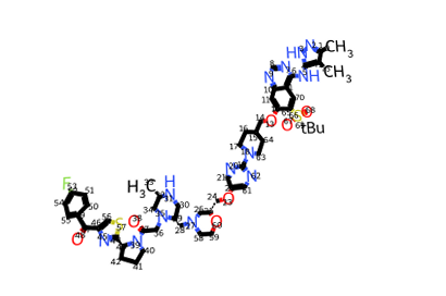 Cc1n[nH]c(Nc2ncnc3cc(OCC4CCN(c5ncc(OC[C@H]6CN(C[C@H]7CN[C@H](C)CN7CC(=O)N7CCC[C@H]7c7nc(C(=O)c8ccc(F)cc8)cs7)CCO6)cn5)CC4)c(S(=O)(=O)C(C)(C)C)cc23)c1C